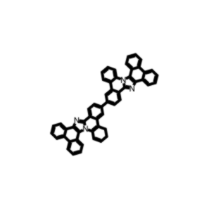 C1=Cc2c(c3cc(-c4ccc5c(c4)c4ccccc4n4c5nc5c6ccccc6c6ccccc6c54)ccc3c3nc4c5ccccc5c5ccccc5c4n23)CC1